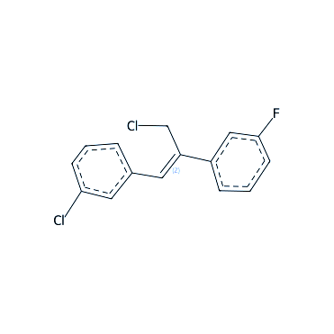 Fc1cccc(/C(=C/c2cccc(Cl)c2)CCl)c1